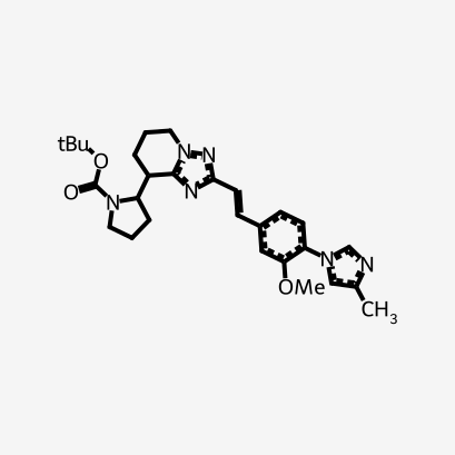 COc1cc(C=Cc2nc3n(n2)CCCC3C2CCCN2C(=O)OC(C)(C)C)ccc1-n1cnc(C)c1